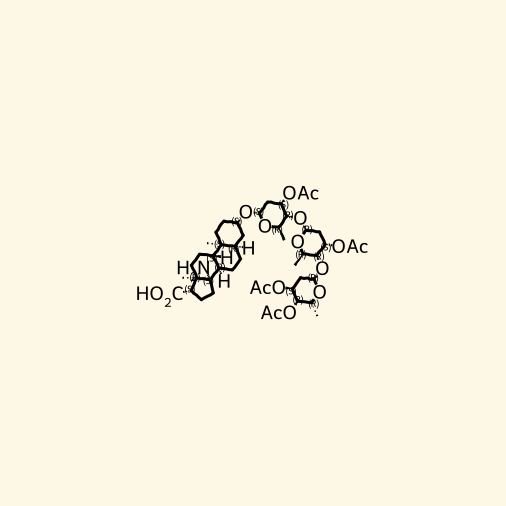 CC(=O)O[C@H]1[C@@H](OC(C)=O)C[C@@H](O[C@H]2[C@@H](OC(C)=O)C[C@@H](O[C@H]3[C@@H](OC(C)=O)C[C@@H](O[C@H]4CC[C@@]5(C)[C@H](CC[C@@H]6[C@@H]5CC[C@]5(C)[C@@H](C(=O)O)CC[C@]65N)C4)O[C@@H]3C)O[C@@H]2C)O[C@@H]1C